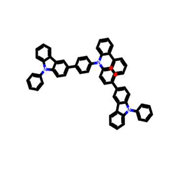 c1ccc(-c2ccccc2N(c2ccc(-c3ccc4c(c3)c3ccccc3n4-c3ccccc3)cc2)c2ccc(-c3ccc4c(c3)c3ccccc3n4-c3ccccc3)cc2)cc1